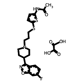 CC(=O)Nc1ccc(SCCCN2CCC(c3noc4cc(F)ccc34)CC2)s1.O=C(O)C(=O)O